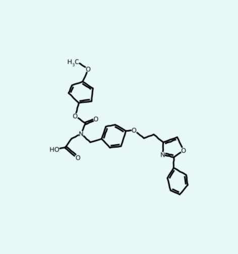 COc1ccc(OC(=O)N(CC(=O)O)Cc2ccc(OCCc3coc(-c4ccccc4)n3)cc2)cc1